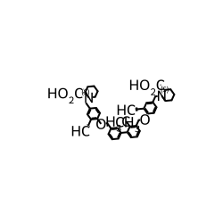 C#Cc1cc(CN2CCCC[C@H]2C(=O)O)ccc1OCc1cccc(-c2cccc(COc3ccc(CN4CCCC[C@H]4C(=O)O)cc3C#C)c2C)c1C